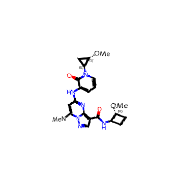 CNc1cc(Nc2cccn([C@H]3C[C@@H]3OC)c2=O)nc2c(C(=O)NC3CC[C@H]3OC)cnn12